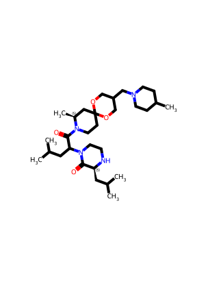 CC(C)CC(C(=O)N1CCC2(C[C@@H]1C)OCC(CN1CCC(C)CC1)CO2)N1CCN[C@@H](CC(C)C)C1=O